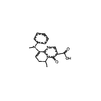 CC1CC=C(N(C)c2ccccc2)c2ncc(C(=O)O)c(=O)n21